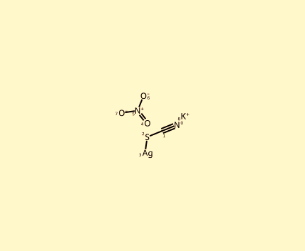 N#C[S][Ag].O=[N+]([O-])[O-].[K+]